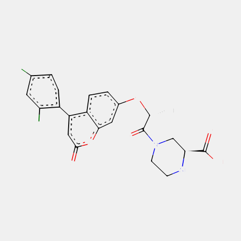 C[C@@H](Oc1ccc2c(-c3ccc(F)cc3Cl)cc(=O)oc2c1)C(=O)N1CCN[C@H](C(=O)O)C1